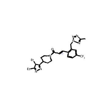 CCC1=NN=C(C2CCN(C(=O)/C=C/c3ccc(C(F)(F)F)cc3Cn3nnc(C)n3)CC2)C1CC